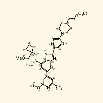 CCOC(=O)CSC1CCN(c2cnc(-c3nc4nc(-c5cc(OCC)nc(C(F)(F)F)c5)cc(N(C)CC5(COC)CCC5)c4[nH]3)cn2)CC1